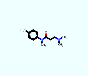 Cc1ccc(N(C)C(=O)CCN(C)C)cc1